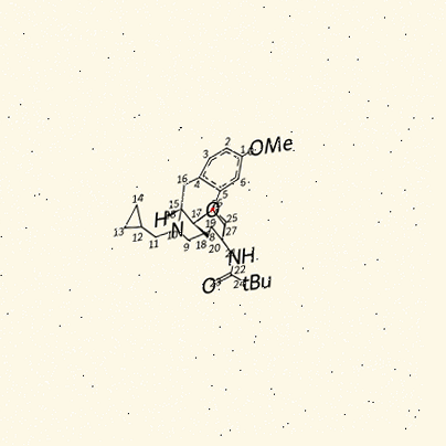 COc1ccc2c(c1)[C@]13CCN(CC4CC4)[C@H](C2)[C@]12CCC(NC(=O)C(C)(C)C)(CO2)C3